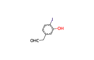 O=CCc1ccc(I)c(O)c1